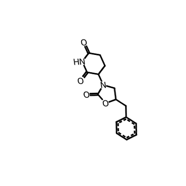 O=C1CCC(N2CC(Cc3ccccc3)OC2=O)C(=O)N1